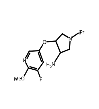 COc1ncc(OC2CN(C(C)C)CC2N)cc1F